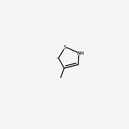 CC1=CNS[C]1